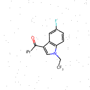 CC(C)C(=O)c1cn(CC(F)(F)F)c2ccc(F)cc12